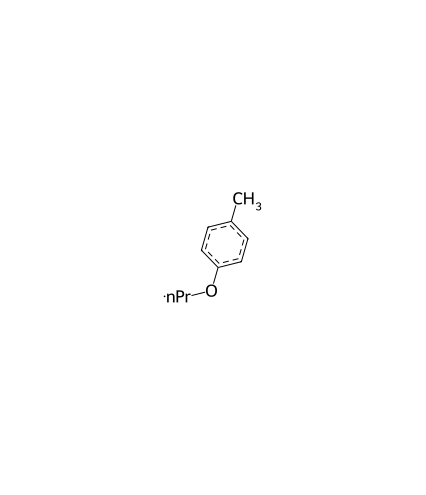 CC[CH]Oc1ccc(C)cc1